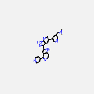 CN(C)Cc1cncc(-c2cnc3[nH]nc(-c4cc5c(-c6ccncc6)nccc5[nH]4)c3c2)c1